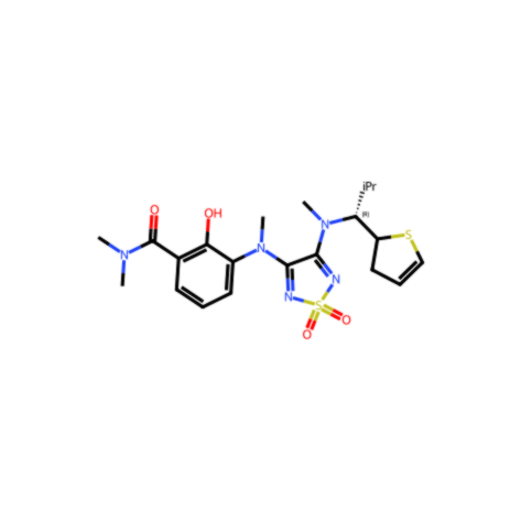 CC(C)[C@H](C1CC=CS1)N(C)C1=NS(=O)(=O)N=C1N(C)c1cccc(C(=O)N(C)C)c1O